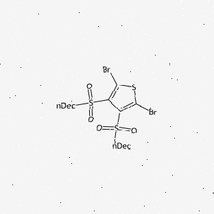 CCCCCCCCCCS(=O)(=O)c1c(Br)sc(Br)c1S(=O)(=O)CCCCCCCCCC